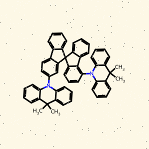 CC1(C)c2ccccc2N(c2ccc3c(c2)C2(c4ccccc4-3)c3ccccc3-c3c(N4c5ccccc5C(C)(C)c5ccccc54)cccc32)c2ccccc21